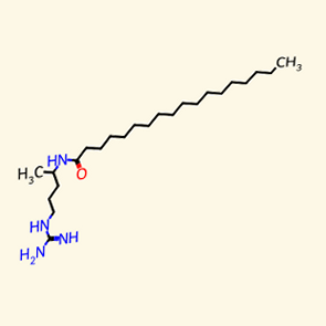 CCCCCCCCCCCCCCCCCC(=O)NC(C)CCCNC(=N)N